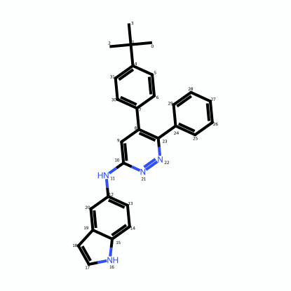 CC(C)(C)c1ccc(-c2cc(Nc3ccc4[nH]ccc4c3)nnc2-c2ccccc2)cc1